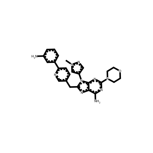 Cn1cc(-n2c(Cc3ccc(-c4cccc(N)c4)nc3)nc3c(N)nc(N4CCOCC4)nc32)cn1